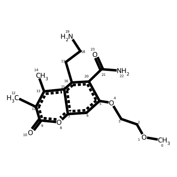 COCCOc1cc2oc(=O)c(C)c(C)c2c(CCN)c1C(N)=O